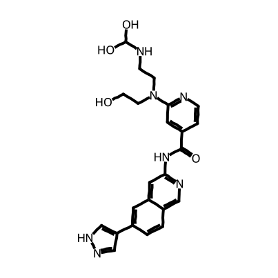 O=C(Nc1cc2cc(-c3cn[nH]c3)ccc2cn1)c1ccnc(N(CCO)CCNC(O)O)c1